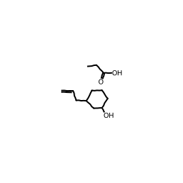 C=CCC1CCCC(O)C1.CCC(=O)O